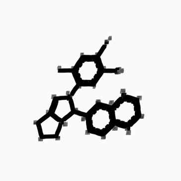 Cc1cc(F)c(Cl)cc1N1C=C2CCCN2C1c1ccc2nccnc2c1